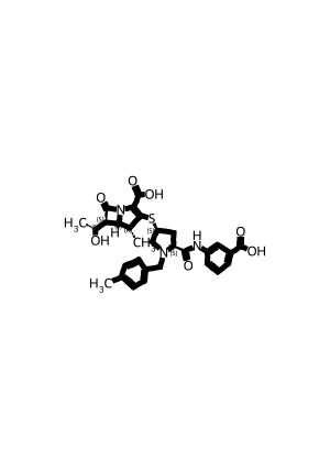 Cc1ccc(CN2C[C@@H](SC3=C(C(=O)O)N4C(=O)[C@H]([C@@H](C)O)[C@H]4[C@H]3C)C[C@H]2C(=O)Nc2cccc(C(=O)O)c2)cc1